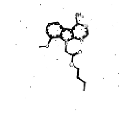 CCCCOC(=O)Cn1c2ncnc(N)c2c2cccc(OC)c21